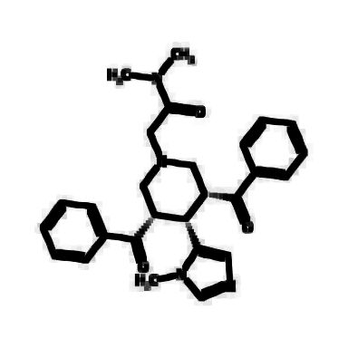 CN(C)C(=O)CN1C[C@H](C(=O)c2ccccc2)[C@H](c2cncn2C)[C@H](C(=O)c2ccccc2)C1